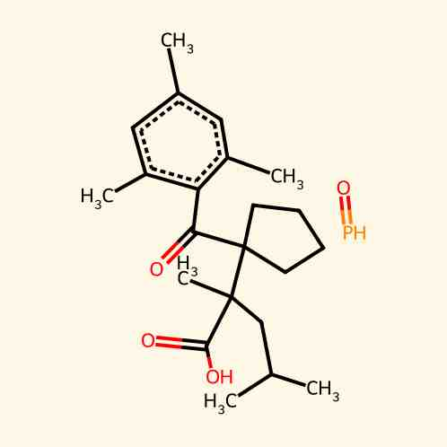 Cc1cc(C)c(C(=O)C2(C(C)(CC(C)C)C(=O)O)CCCC2)c(C)c1.O=P